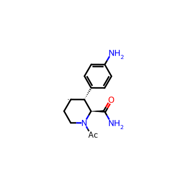 CC(=O)N1CC[CH][C@H](c2ccc(N)cc2)[C@H]1C(N)=O